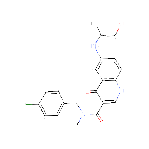 CCC(CO)Nc1ccc2[nH]cc(C(=O)N(C)Cc3ccc(Cl)cc3)c(=O)c2c1